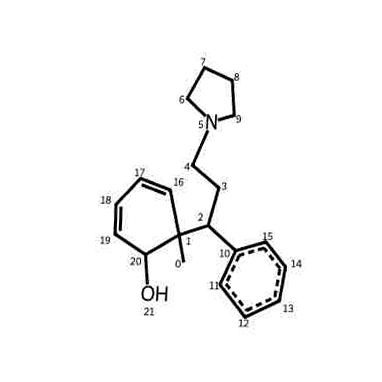 CC1(C(CCN2CCCC2)c2ccccc2)C=CC=CC1O